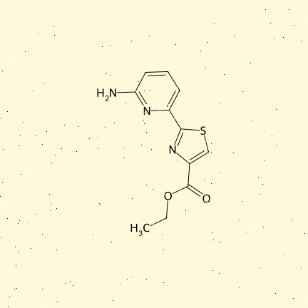 CCOC(=O)c1csc(-c2cccc(N)n2)n1